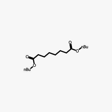 CCCCOC(=O)CCCCCCC(=O)OCCCC